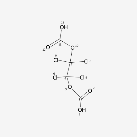 O=C(O)OC(Cl)(Cl)C(Cl)(Cl)OC(=O)O